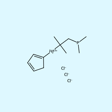 CP(C)C[C](C)(C)[Hf+3][C]1=CC=CC1.[Cl-].[Cl-].[Cl-]